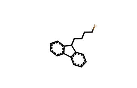 BrCCCCC1c2ccccc2-c2ccccc21